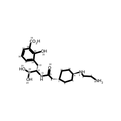 NCCN[C@H]1CC[C@H](CC(=O)N[C@@H](Cc2cccc(C(=O)O)c2O)B(O)O)CC1